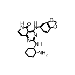 N[C@@H]1CCCC[C@H]1Nc1nc(Nc2ccc3c(c2)OCO3)c2c(=O)[nH]ccc2n1